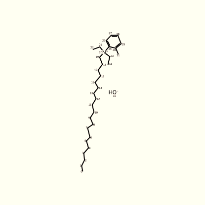 CCCCCCCCCCCCCCCCCCCC[N+](CC)(CC)c1ccccc1C.[OH-]